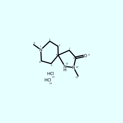 CN1CCC2(CC1)CC(=O)N(C)N2.Cl.Cl